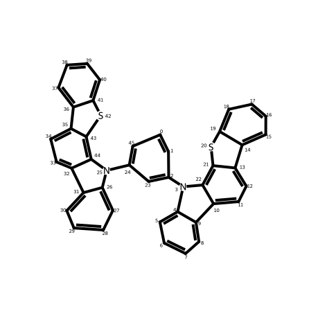 c1cc(-n2c3ccccc3c3ccc4c5ccccc5sc4c32)cc(-n2c3ccccc3c3ccc4c5ccccc5sc4c32)c1